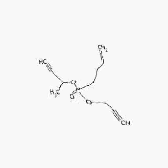 C#CCOP(=O)(CCC=C)OC(C)C#C